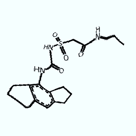 CCCNC(=O)CS(=O)(=O)NC(=O)Nc1c2c(cc3c1CCC3)CCC2